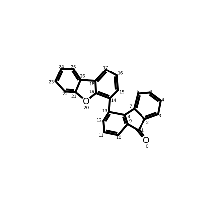 O=C1c2ccccc2-c2c1cccc2-c1cccc2c1oc1ccccc12